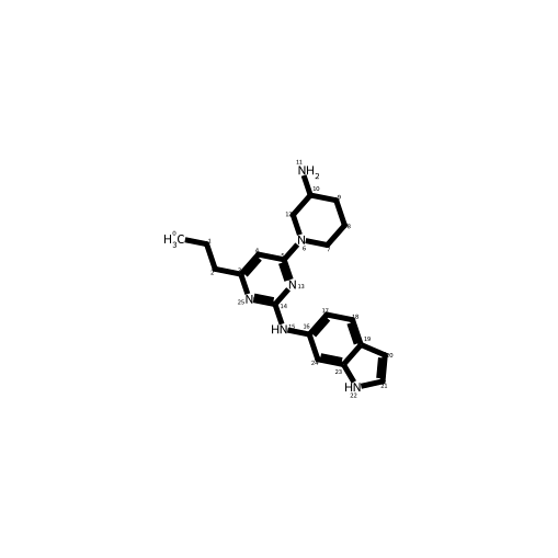 CCCc1cc(N2CCCC(N)C2)nc(Nc2ccc3cc[nH]c3c2)n1